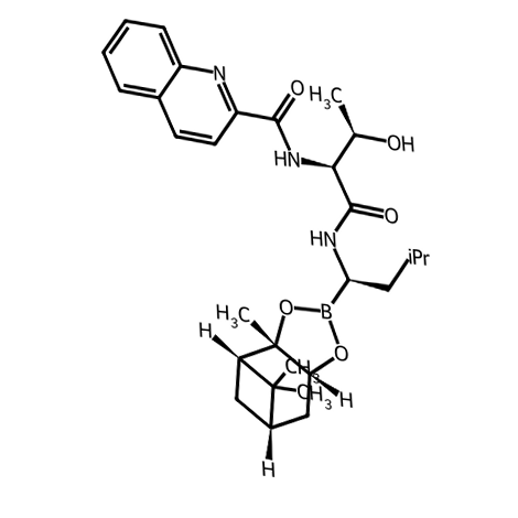 CC(C)C[C@H](NC(=O)[C@@H](NC(=O)c1ccc2ccccc2n1)[C@@H](C)O)B1O[C@@H]2C[C@@H]3C[C@@H](C3(C)C)[C@]2(C)O1